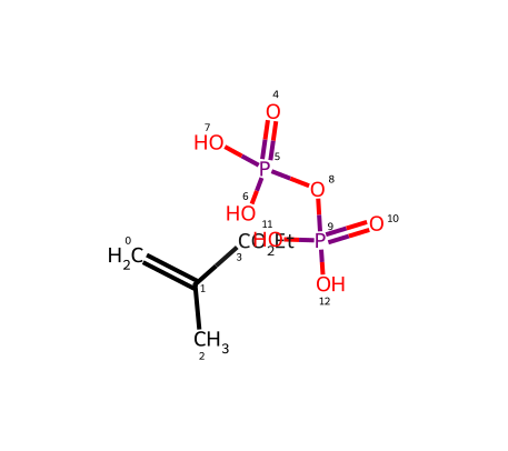 C=C(C)C(=O)OCC.O=P(O)(O)OP(=O)(O)O